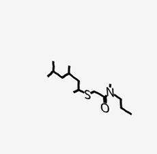 CCCN(C)C(=O)CSC(C)CC(C)CC(C)C